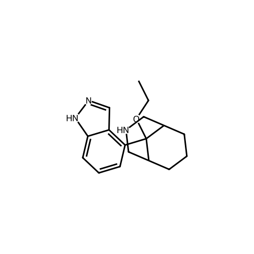 CCOC1(c2cccc3[nH]ncc23)C2CCCC1CNC2